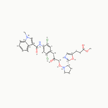 COC(=O)CCc1cnc([C@@H]2CCCN2OCC(=O)Cc2cc(Cl)c(NC(=O)c3cn(C)c4ccccc34)cc2Cl)o1